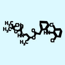 CC(CNC(=O)OC(C)(C)C)OC(=O)Cc1ccccc1Nc1c(Cl)cccc1Cl